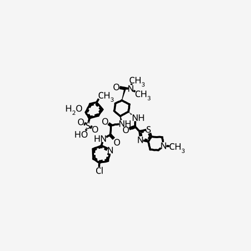 CN1CCc2nc(C(=O)N[C@H]3C[C@H](C(=O)N(C)C)CC[C@@H]3NC(=O)C(=O)Nc3ccc(Cl)cn3)sc2C1.Cc1ccc(S(=O)(=O)O)cc1.O